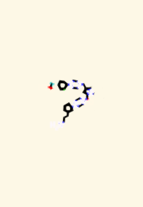 Cc1c(CN2CCN(c3ccccc3Cl)CC2)cc(C(=O)N2CCN(c3cccc(CCCN)c3)C[C@@H]2C)n1C.O=C(O)C(F)(F)F